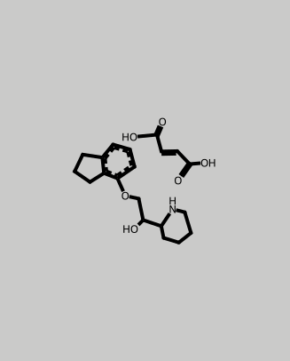 O=C(O)C=CC(=O)O.OC(COc1cccc2c1CCC2)C1CCCCN1